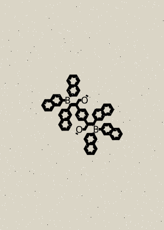 COC/C(=C(\B(c1ccc2ccccc2c1)c1ccc2ccccc2c1)c1ccc2ccccc2c1)c1ccc(/C(COC)=C(/B(c2ccc3ccccc3c2)c2ccc3ccccc3c2)c2ccc3ccccc3c2)cc1